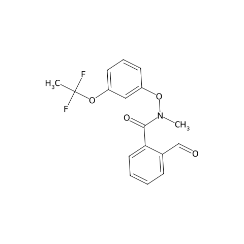 CN(Oc1cccc(OC(C)(F)F)c1)C(=O)c1ccccc1C=O